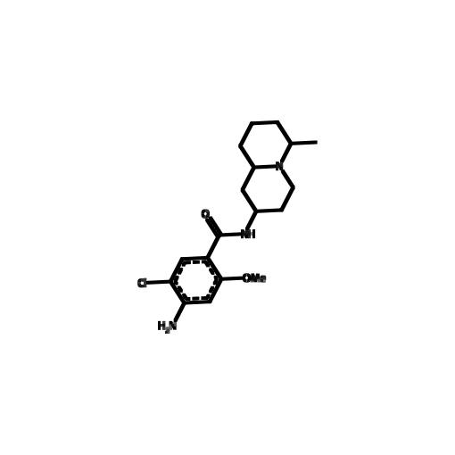 COc1cc(N)c(Cl)cc1C(=O)NC1CCN2C(C)CCCC2C1